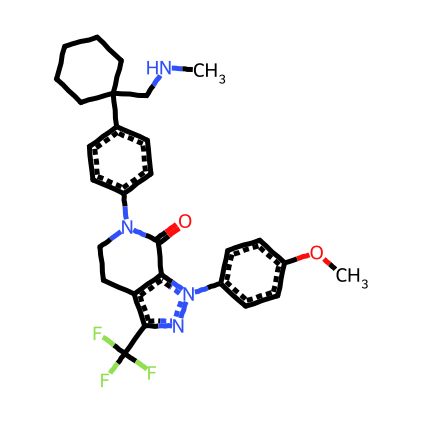 CNCC1(c2ccc(N3CCc4c(C(F)(F)F)nn(-c5ccc(OC)cc5)c4C3=O)cc2)CCCCC1